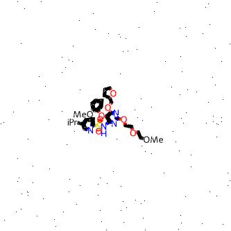 COCCOCCOc1nc(NS(=O)(=O)c2ccc(C(C)C)cn2)c(Oc2ccccc2OC)c(OCC2CCCO2)n1